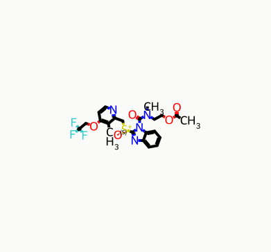 CC(=O)OCCN(C)C(=O)n1c([S@+]([O-])Cc2nccc(OCC(F)(F)F)c2C)nc2ccccc21